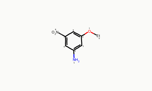 CCOc1cc(N)cc([N+](=O)[O-])c1